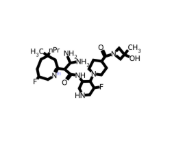 CCCC1(C)CCC(F)C/N=C(/C(C(=O)NC2CNCC(F)C2N2CCC(C(=O)N3CC(C)(O)C3)CC2)C(N)N)C1